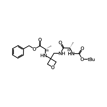 C[C@H](NC(=O)OC(C)(C)C)C(=O)NCC1(N[C@@H](C)C(=O)OCc2ccccc2)COC1